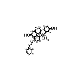 CC1(c2ccc(OCCN3CCCCC3)cc2)Oc2cc(O)ccc2C2=C1c1ccc(O)cc1OC2